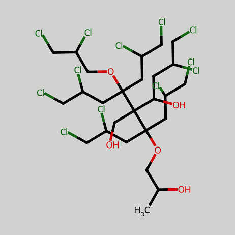 CC(O)COC(CC(Cl)CCl)(CC(Cl)CCl)C(CO)(C(O)CC(Cl)CCl)C(CC(Cl)CCl)(CC(Cl)CCl)OCC(Cl)CCl